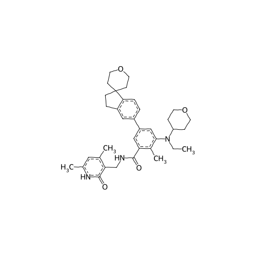 CCN(c1cc(-c2ccc3c(c2)CCC32CCOCC2)cc(C(=O)NCc2c(C)cc(C)[nH]c2=O)c1C)C1CCOCC1